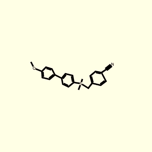 COc1ccc(-c2ccc(S(C)(C)Cc3ccc(C#N)cc3)cc2)cc1